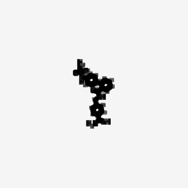 N=C(N)c1ccc(CNC(=O)c2ccccc2-c2ccc(NS(N)(=O)=O)cc2)cc1